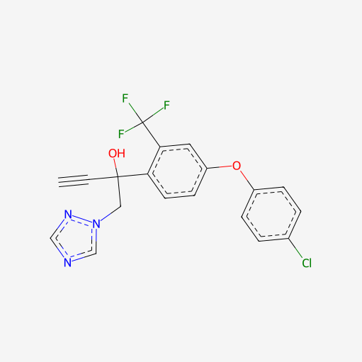 C#CC(O)(Cn1cncn1)c1ccc(Oc2ccc(Cl)cc2)cc1C(F)(F)F